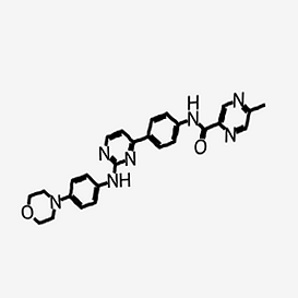 Cc1cnc(C(=O)Nc2ccc(-c3ccnc(Nc4ccc(N5CCOCC5)cc4)n3)cc2)cn1